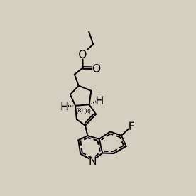 CCOC(=O)CC1C[C@@H]2CC(c3ccnc4ccc(F)cc34)=C[C@@H]2C1